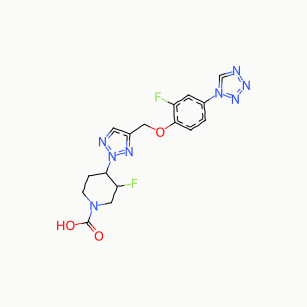 O=C(O)N1CCC(n2ncc(COc3ccc(-n4cnnn4)cc3F)n2)C(F)C1